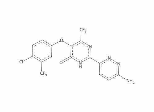 Nc1ccc(-c2nc(C(F)(F)F)c(Oc3ccc(Cl)c(C(F)(F)F)c3)c(=O)[nH]2)nn1